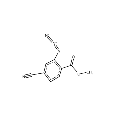 COC(=O)c1ccc(C#N)cc1N=[N+]=[N-]